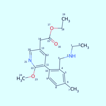 CCNCc1cc(C)ccc1-c1cc(CC(=O)OCC)cnc1OC